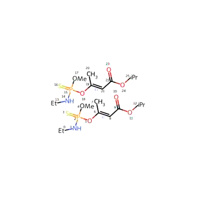 CCNP(=S)(OC)O/C(C)=C/C(=O)OC(C)C.CCNP(=S)(OC)O/C(C)=C/C(=O)OC(C)C